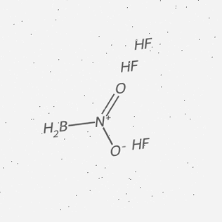 B[N+](=O)[O-].F.F.F